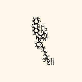 Nc1ncnc2c1c(-c1ccc(Oc3ccccc3)cc1)nn2C1CCCN(CCCCCC(=O)NO)C1